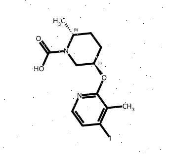 Cc1c(I)ccnc1O[C@@H]1CC[C@@H](C)N(C(=O)O)C1